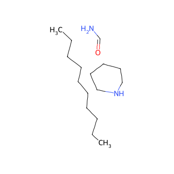 C1CCNCC1.CCCCCCCCCC.NC=O